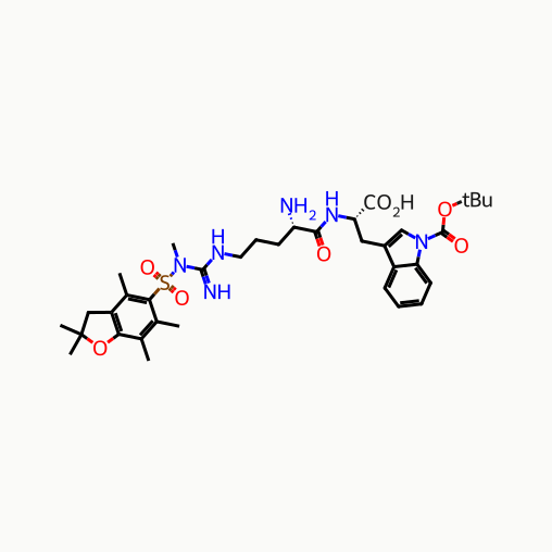 Cc1c(C)c(S(=O)(=O)N(C)C(=N)NCCC[C@H](N)C(=O)N[C@@H](Cc2cn(C(=O)OC(C)(C)C)c3ccccc23)C(=O)O)c(C)c2c1OC(C)(C)C2